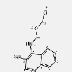 [3H]c1cnc2ccccc2c1NCOCCl